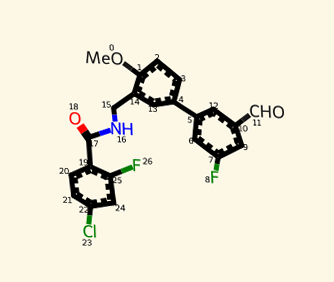 COc1ccc(-c2cc(F)cc(C=O)c2)cc1CNC(=O)c1ccc(Cl)cc1F